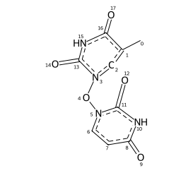 Cc1cn(On2ccc(=O)[nH]c2=O)c(=O)[nH]c1=O